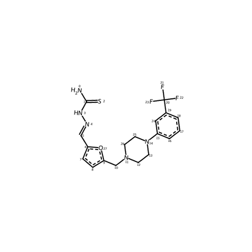 NC(=S)NN=Cc1ccc(CN2CCN(c3cccc(C(F)(F)F)c3)CC2)o1